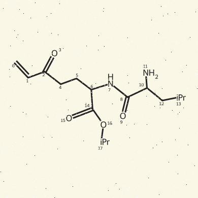 C=CC(=O)CCC(NC(=O)C(N)CC(C)C)C(=O)OC(C)C